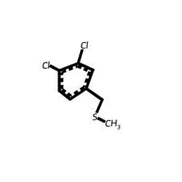 CSCc1ccc(Cl)c(Cl)c1